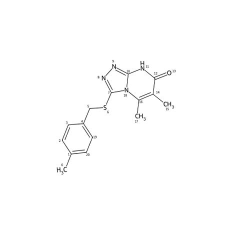 Cc1ccc(CSc2nnc3[nH]c(=O)c(C)c(C)n23)cc1